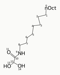 CCCCCCCCCCCCCCCCNC(=O)C(O)O